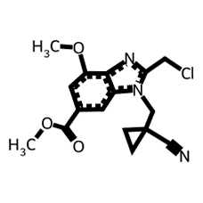 COC(=O)c1cc(OC)c2nc(CCl)n(CC3(C#N)CC3)c2c1